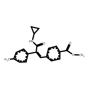 COC(=O)c1ccc(/C=C(\C(=O)NC2CC2)c2ccc(C)cc2)cc1